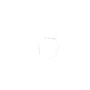 CCC1CC=CC(=O)CC1